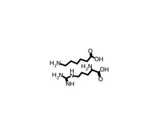 N=C(N)NCCCC(N)C(=O)O.NCCCCCC(=O)O